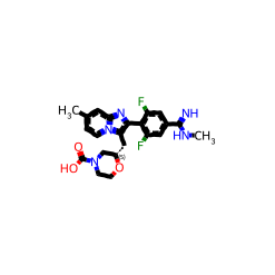 CNC(=N)c1cc(F)c(-c2nc3cc(C)ccn3c2C[C@H]2CN(C(=O)O)CCO2)c(F)c1